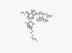 C=CCCCn1cc(-c2nc(N)c3ncn(C4OC(CO)[C@@H](O)[C@H]4O)c3n2)cn1